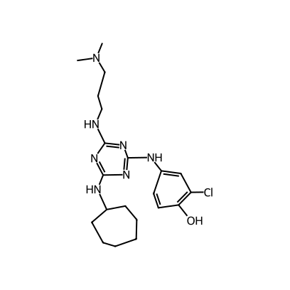 CN(C)CCCNc1nc(Nc2ccc(O)c(Cl)c2)nc(NC2CCCCCC2)n1